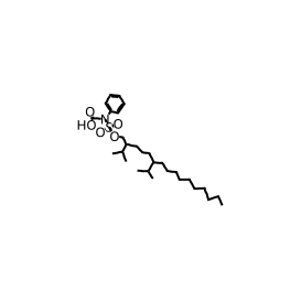 CCCCCCCCCCC(CCCC(COS(=O)(=O)N(C(=O)O)c1ccccc1)C(C)C)C(C)C